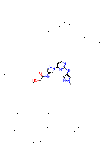 Cn1cc(Nc2nccc(-n3cc(NC(=O)CO)cn3)n2)cn1